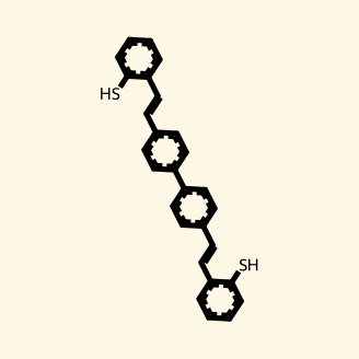 Sc1ccccc1C=Cc1ccc(-c2ccc(C=Cc3ccccc3S)cc2)cc1